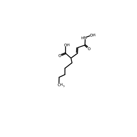 CCCCCC(C=CC(=O)NO)C(=O)O